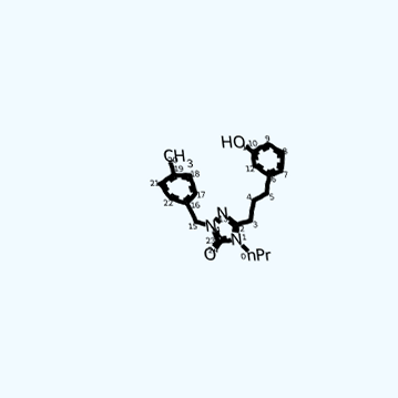 CCCn1c(CCCc2cccc(O)c2)nn(Cc2ccc(C)cc2)c1=O